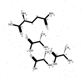 C[C@H](N)C(=O)O.C[C@H](N)C(=O)O.C[C@H](N)C(=O)O.NC(=O)CC[C@H](N)C(=O)O